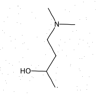 [CH2]C(O)CCN(C)C